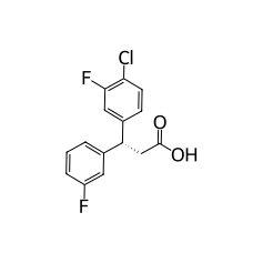 O=C(O)C[C@H](c1cccc(F)c1)c1ccc(Cl)c(F)c1